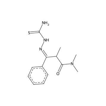 CC(C(=O)N(C)C)C(=NNC(N)=S)c1ccccc1